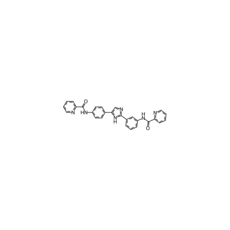 O=C(Nc1ccc(-c2cnc(-c3cccc(NC(=O)c4ccccn4)c3)[nH]2)cc1)c1ccccn1